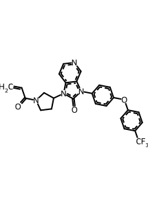 C=CC(=O)N1CCC(n2c(=O)n(-c3ccc(Oc4ccc(C(F)(F)F)cc4)cc3)c3cnccc32)C1